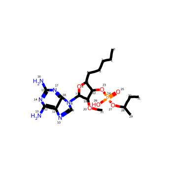 CCCCCC1OC(n2cnc3c(N)nc(N)nc32)C(OC)C1OP(=O)(O)OC(C)CC